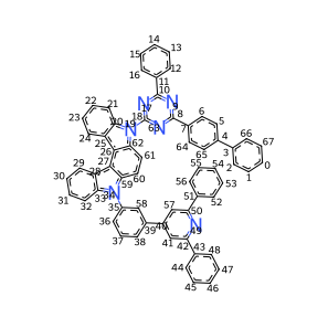 c1ccc(-c2ccc(-c3nc(-c4ccccc4)nc(-n4c5ccccc5c5c6c7ccccc7n(-c7cccc(-c8cc(-c9ccccc9)nc(-c9ccccc9)c8)c7)c6ccc54)n3)cc2)cc1